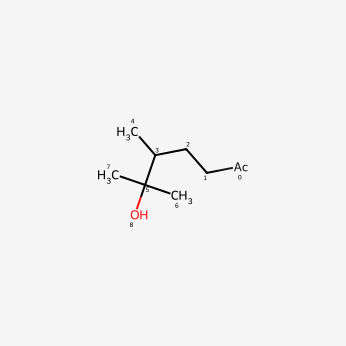 CC(=O)CCC(C)C(C)(C)O